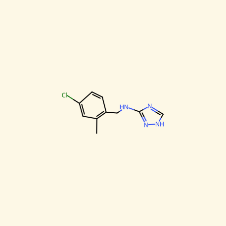 Cc1cc(Cl)ccc1CNc1nc[nH]n1